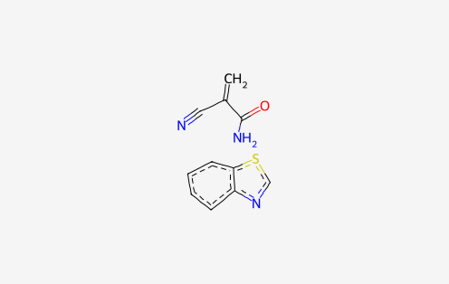 C=C(C#N)C(N)=O.c1ccc2scnc2c1